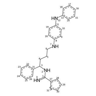 N=C(NC(CCCNc1ccc(Nc2ccccc2)cc1)c1ccccc1)c1cccs1